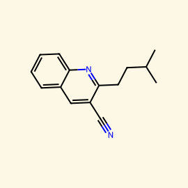 CC(C)CCc1nc2ccccc2cc1C#N